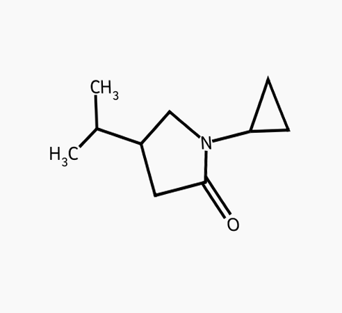 CC(C)C1CC(=O)N(C2CC2)C1